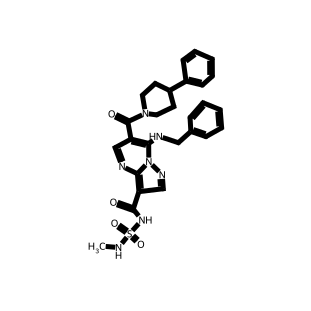 CNS(=O)(=O)NC(=O)c1cnn2c(NCc3ccccc3)c(C(=O)N3CCC(c4ccccc4)CC3)cnc12